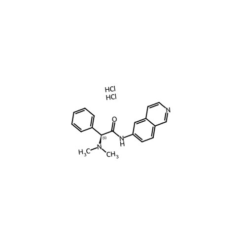 CN(C)[C@H](C(=O)Nc1ccc2cnccc2c1)c1ccccc1.Cl.Cl